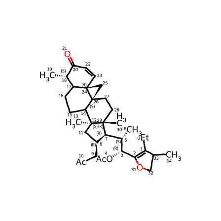 CCC1=C([C@H](OC(C)=O)[C@@H](C)[C@H]2[C@@H](CC(C)=O)C[C@@]3(C)C4CCC5[C@H](C)C(=O)C=C[C@@]56C[C@@]46CC[C@]23C)OCC1C